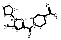 O=C(O)C1CCN(C(=O)c2cc(Br)n(C3CCCO3)n2)CC1